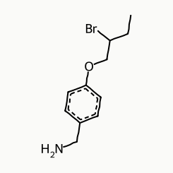 CCC(Br)COc1ccc(CN)cc1